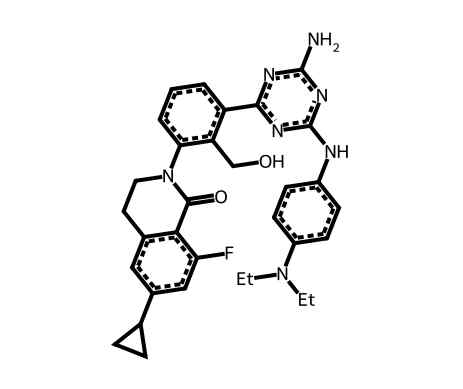 CCN(CC)c1ccc(Nc2nc(N)nc(-c3cccc(N4CCc5cc(C6CC6)cc(F)c5C4=O)c3CO)n2)cc1